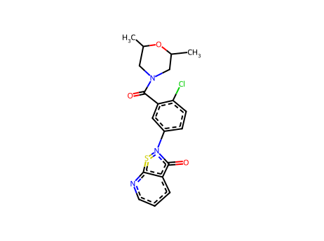 CC1CN(C(=O)c2cc(-n3sc4ncccc4c3=O)ccc2Cl)CC(C)O1